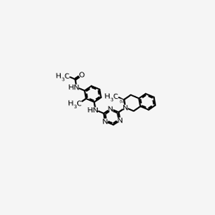 CC(=O)Nc1cccc(Nc2ncnc(N3Cc4ccccc4C[C@@H]3C)n2)c1C